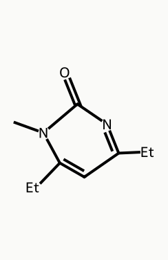 CCc1cc(CC)n(C)c(=O)n1